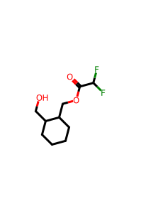 O=C(OCC1CCCCC1CO)C(F)F